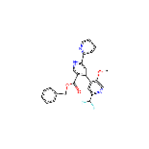 COc1cnc(C(F)F)cc1-c1cc(-c2ccccn2)ncc1C(=O)OCc1ccccc1